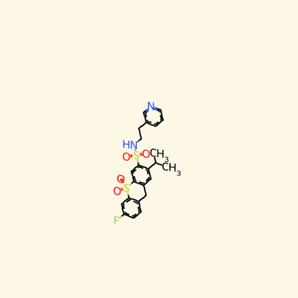 CC(C)c1cc2c(cc1S(=O)(=O)NCCc1cccnc1)S(=O)(=O)c1cc(F)ccc1C2